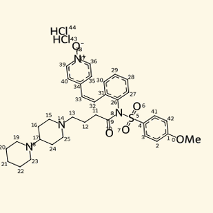 COc1ccc(S(=O)(=O)N(C(=O)CCCN2CCC(N3CCCCC3)CC2)c2ccccc2C=Cc2cc[n+]([O-])cc2)cc1.Cl.Cl